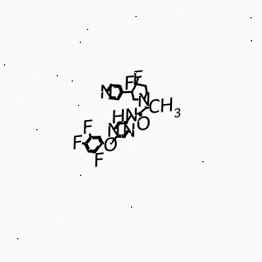 CC(C(=O)Nc1cnc(Oc2cc(F)c(F)cc2F)cn1)N1CCC(F)(F)C(c2ccncc2)C1